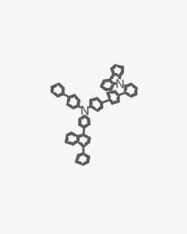 c1ccc(-c2ccc(N(c3ccc(-c4ccc(-c5ccccc5-n5c6ccccc6c6ccccc65)cc4)cc3)c3ccc(-c4ccc(-c5ccccc5)c5ccccc45)cc3)cc2)cc1